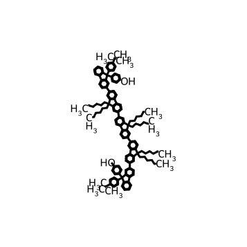 CCCCCCC1(CCCCCC)c2ccc(-c3ccc4c(c3)C(CCCCCC)(CCCCCC)c3cc(-c5ccc6c(c5)C(CCCCCC)(CCCCCC)c5cc(-c7ccc8c(c7)C(c7ccc(O)cc7)(c7ccc(C(C)(C)C)cc7)c7ccccc7-8)ccc5-6)ccc3-4)cc2-c2ccc(-c3ccc4c(c3)C(c3ccc(O)cc3)(c3ccc(C(C)(C)C)cc3)c3ccccc3-4)cc21